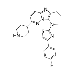 CCc1nc2ccc(C3CCNCC3)nn2c1N(C)c1nc(-c2ccc(F)cc2)cs1